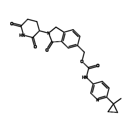 CC1(c2ccc(NC(=O)OCc3ccc4c(c3)C(=O)N(C3CCC(=O)NC3=O)C4)cn2)CC1